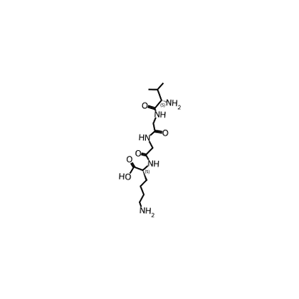 CC(C)[C@H](N)C(=O)NCC(=O)NCC(=O)N[C@@H](CCCCN)C(=O)O